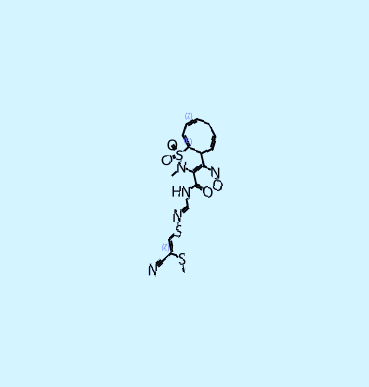 CS/C(C#N)=C\SN=CNC(=O)C1=C(N=O)C2C=CC/C=C\C=C/2S(=O)(=O)N1C